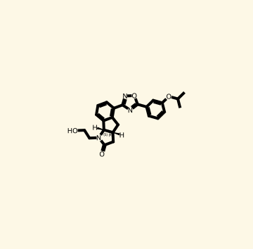 CC(C)Oc1cccc(-c2nc(-c3cccc4c3C[C@@H]3CC(=O)N(CCO)[C@H]43)no2)c1